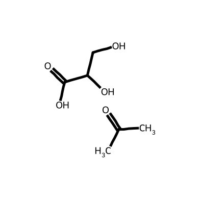 CC(C)=O.O=C(O)C(O)CO